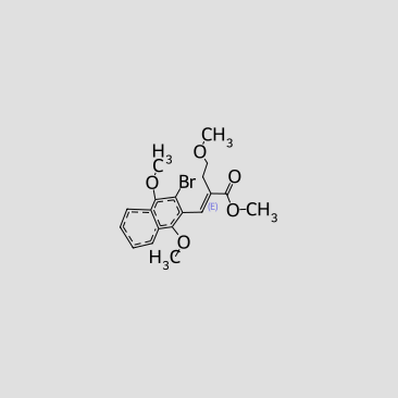 COCC/C(=C\c1c(Br)c(OC)c2ccccc2c1OC)C(=O)OC